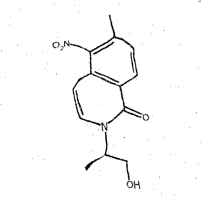 Cc1ccc2c(=O)n([C@H](C)CO)ccc2c1[N+](=O)[O-]